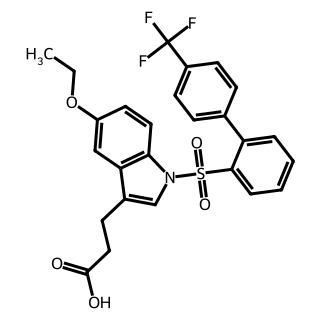 CCOc1ccc2c(c1)c(CCC(=O)O)cn2S(=O)(=O)c1ccccc1-c1ccc(C(F)(F)F)cc1